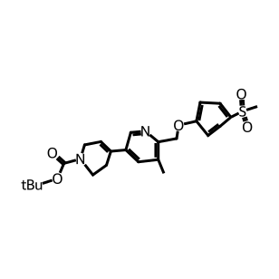 Cc1cc(C2=CCN(C(=O)OC(C)(C)C)CC2)cnc1COc1ccc(S(C)(=O)=O)cc1